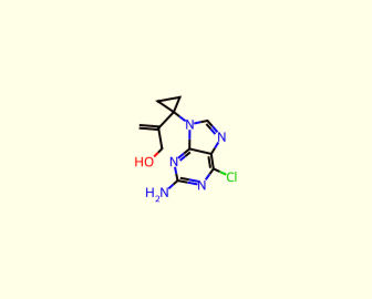 C=C(CO)C1(n2cnc3c(Cl)nc(N)nc32)CC1